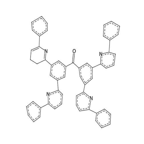 O=C(c1cc(C2=NC(c3ccccc3)=CCC2)cc(-c2cccc(-c3ccccc3)n2)c1)c1cc(-c2cccc(-c3ccccc3)n2)cc(-c2cccc(-c3ccccc3)n2)c1